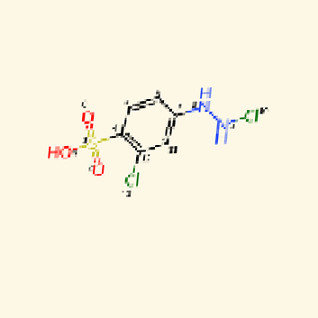 O=S(=O)(O)c1ccc(NNCl)cc1Cl